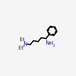 CCN(CC)CCCC[C@@H](N)c1ccccc1